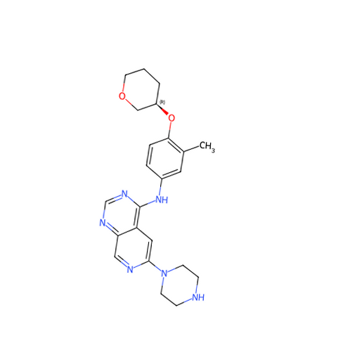 Cc1cc(Nc2ncnc3cnc(N4CCNCC4)cc23)ccc1O[C@@H]1CCCOC1